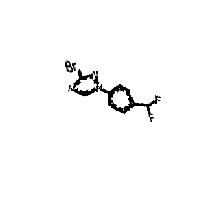 FC(F)c1ccc(-n2cnc(Br)n2)cc1